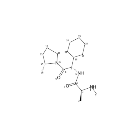 CN[C@@H](C)C(=O)N[C@H](C(=O)N1CCC[C@H]1C)C1CCCCC1